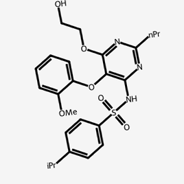 CCCc1nc(NS(=O)(=O)c2ccc(C(C)C)cc2)c(Oc2ccccc2OC)c(OCCO)n1